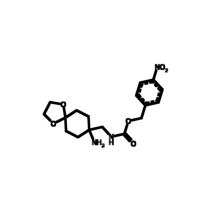 NC1(CNC(=O)OCc2ccc([N+](=O)[O-])cc2)CCC2(CC1)OCCO2